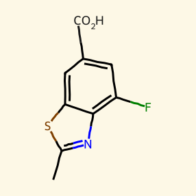 Cc1nc2c(F)cc(C(=O)O)cc2s1